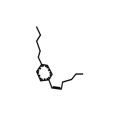 CCCC/C=[C]\c1ccc(CCCCC)cc1